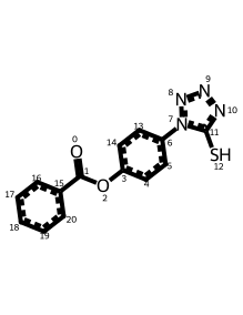 O=C(Oc1ccc(-n2nnnc2S)cc1)c1ccccc1